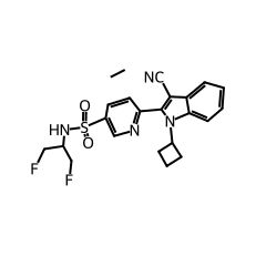 CC.N#Cc1c(-c2ccc(S(=O)(=O)NC(CF)CF)cn2)n(C2CCC2)c2ccccc12